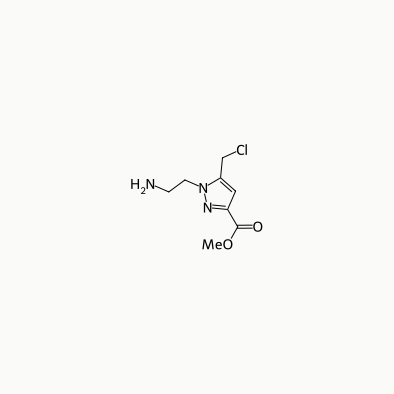 COC(=O)c1cc(CCl)n(CCN)n1